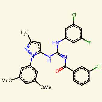 COc1cc(OC)cc(-n2nc(C(F)(F)F)cc2N/C(=N\C(=O)c2cccc(Cl)c2)Nc2cc(F)cc(Cl)c2)c1